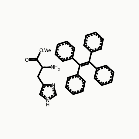 COC(=O)C(N)Cc1c[nH]cn1.c1ccc(C(=C(c2ccccc2)c2ccccc2)c2ccccc2)cc1